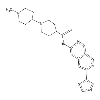 CN1CCC(N2CCC(C(=O)Nc3cc4cc(-c5cncs5)ncc4cn3)CC2)CC1